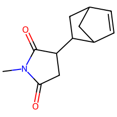 CN1C(=O)CC(C2CC3C=CC2C3)C1=O